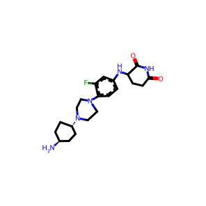 N[C@H]1CC[C@H](N2CCN(c3ccc(NC4CCC(=O)NC4=O)cc3F)CC2)CC1